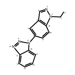 CCn1ncc2cc(-n3nnc4ccccc43)ccc21